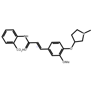 COc1cc(/C=C/C(=O)Nc2ccccc2C(=O)O)ccc1OC1CCN(C)C1